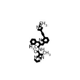 Cc1nn2cccnc2c1C(=O)NC(C)c1cc2cccc(C#Cc3cnn(C)c3)c2nc1-c1cccc(F)c1